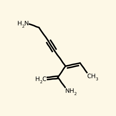 C=C(N)/C(C#CCN)=C\C